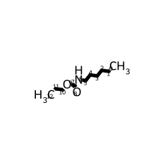 CCCCCCNC(=O)OCCC